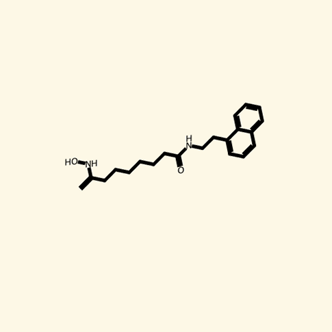 C=C(CCCCCCC(=O)NCCc1cccc2ccccc12)NO